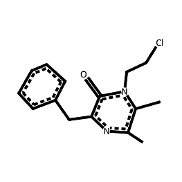 Cc1nc(Cc2ccccc2)c(=O)n(CCCl)c1C